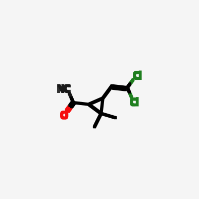 CC1(C)C(C=C(Cl)Cl)C1C(=O)C#N